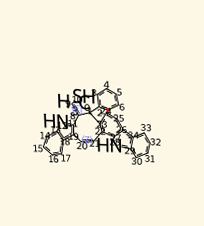 CC1(c2ccccc2)/C(=C\S)c2[nH]c3ccccc3c2/C=C\c2c1ccc1c2[nH]c2ccccc21